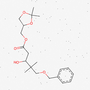 CC1(C)OCC(COC(=O)CC(O)C(C)(C)COCc2ccccc2)O1